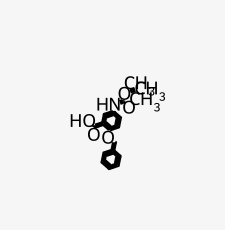 CC(C)(C)OC(=O)Nc1ccc(OCc2ccccc2)c(C(=O)O)c1